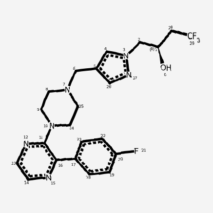 O[C@@H](Cn1cc(CN2CCN(c3nccnc3-c3ccc(F)cc3)CC2)cn1)CC(F)(F)F